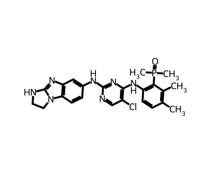 Cc1ccc(Nc2nc(Nc3ccc4c(c3)nc3n4CCN3)ncc2Cl)c(P(C)(C)=O)c1C